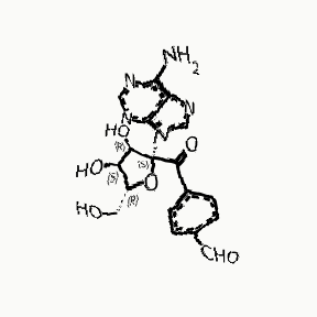 Nc1ncnc2c1ncn2[C@]1(C(=O)c2ccc(C=O)cc2)O[C@H](CO)[C@@H](O)[C@H]1O